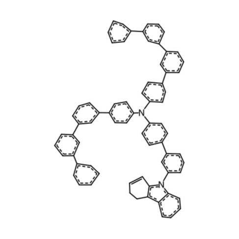 C1=Cc2c(c3ccccc3n2-c2cccc(-c3ccc(N(c4ccc(-c5cccc(-c6cccc(-c7ccccc7)c6)c5)cc4)c4ccc(-c5cccc(-c6cccc(-c7ccccc7)c6)c5)cc4)cc3)c2)CC1